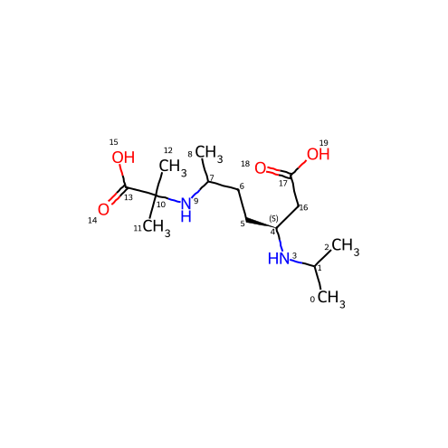 CC(C)N[C@@H](CCC(C)NC(C)(C)C(=O)O)CC(=O)O